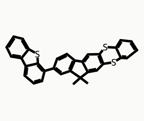 CC1(C)c2cc(-c3cccc4c3sc3ccccc34)ccc2-c2cc3c(cc21)Sc1ccccc1S3